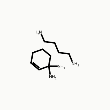 NC1(N)C=CCCC1.NCCCCN